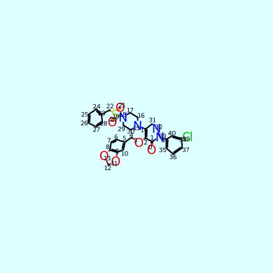 O=c1c(OCc2ccc3c(c2)OCO3)c(N2CCN(S(=O)(=O)Cc3ccccc3)CC2)cnn1-c1cccc(Cl)c1